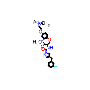 CC(=O)N(C)CCOc1ccc2c(c1)N(C)C(=O)[C@@H](NC(=O)n1cc(Cc3cccc(F)c3)cn1)CO2